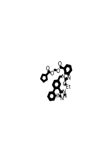 CCOc1nc2cccc(C(=O)OCOC(=O)C3CCCC3)c2n1Cc1ccc(-c2ccccc2)c(-c2nnn[nH]2)c1